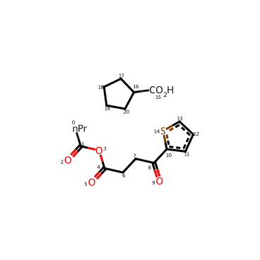 CCCC(=O)OC(=O)CCC(=O)c1cccs1.O=C(O)C1CCCC1